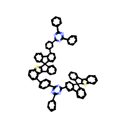 c1ccc(-c2nc(-c3ccccc3)nc(-c3cccc(-c4cccc5c4-c4ccccc4C54c5ccccc5-c5c4sc4cccc(-c6ccc(-c7nc(-c8ccccc8)nc(-c8ccc9c(c8)-c8ccccc8C98c9ccccc9-c9c8sc8ccccc98)n7)cc6)c54)c3)n2)cc1